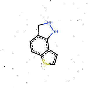 c1cc2c3c(ccc2s1)CNN3